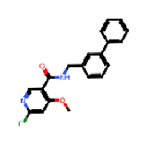 COc1cc(Cl)ncc1C(=O)NCc1cccc(-c2ccccc2)c1